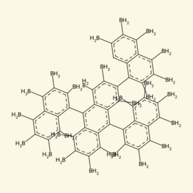 Bc1cc2c(-c3c(B)c(B)c4c(-c5c(B)c(B)c(B)c6c(B)c(B)c(B)c(B)c56)c5c(B)c(B)c(B)c(B)c5c(-c5c(B)c(B)c(B)c6c(B)c(B)c(B)c(B)c56)c4c3B)c(B)c(B)c(B)c2c(B)c1B